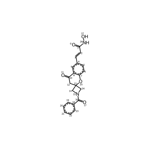 O=C(C=Cc1ccc2c(c1)C(=O)CC1(CN(C(=O)c3ccccc3)C1)O2)NO